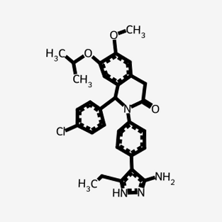 CCc1[nH]nc(N)c1-c1ccc(N2C(=O)Cc3cc(OC)c(OC(C)C)cc3C2c2ccc(Cl)cc2)cc1